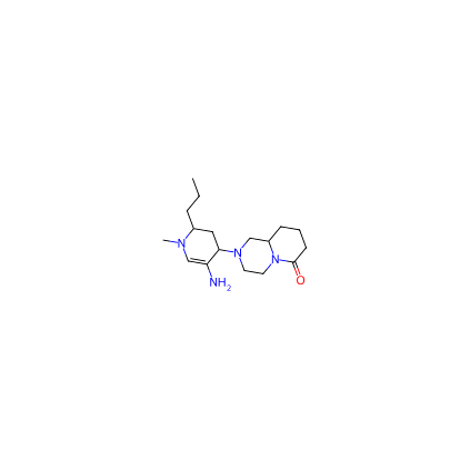 CCCC1CC(N2CCN3C(=O)CCCC3C2)C(N)=CN1C